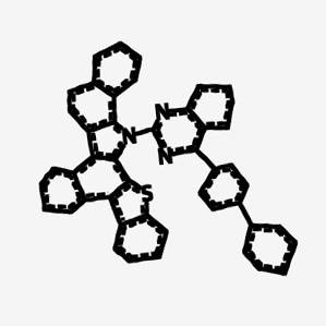 c1ccc(-c2ccc(-c3nc(-n4c5c6ccccc6ccc5c5c6ccccc6c6c7ccccc7sc6c54)nc4ccccc34)cc2)cc1